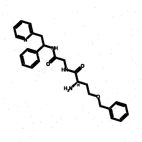 N[C@H](CCOCc1ccccc1)C(=O)NCC(=O)NC(Cc1ccccn1)c1ccccc1